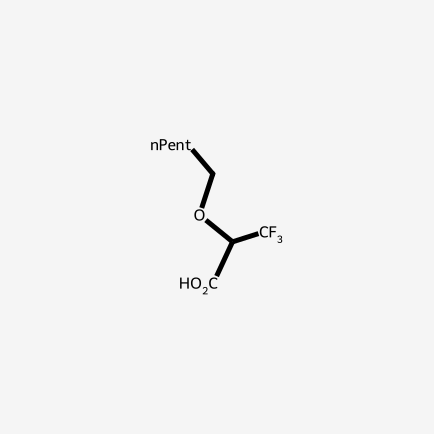 CCCCCCOC(C(=O)O)C(F)(F)F